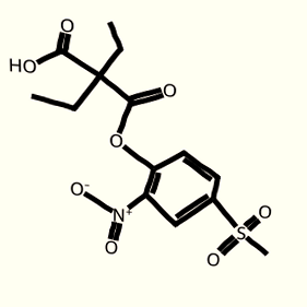 CCC(CC)(C(=O)O)C(=O)Oc1ccc(S(C)(=O)=O)cc1[N+](=O)[O-]